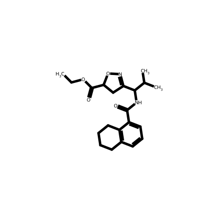 CCOC(=O)C1CC(C(NC(=O)c2cccc3c2CCCC3)C(C)C)=NO1